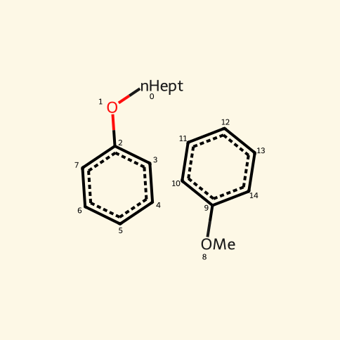 CCCCCCCOc1ccccc1.COc1ccccc1